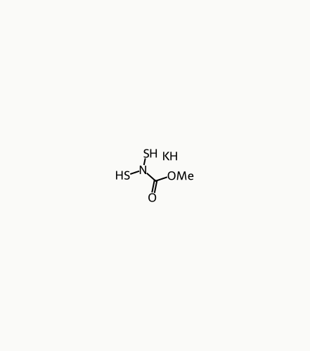 COC(=O)N(S)S.[KH]